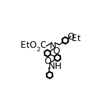 CCOC(=O)CCN(CCc1ccc(OCC)cc1)C(=O)c1ccccc1-c1ccccc1C(=O)NCc1ccccc1